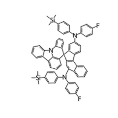 C[Si](C)(C)c1ccc(N(c2ccc(F)cc2)c2ccc3c(c2)C2(c4ccccc4-n4c5ccccc5c5cccc2c54)c2cc(N(c4ccc(F)cc4)c4ccc([Si](C)(C)C)cc4)c4ccccc4c2-3)cc1